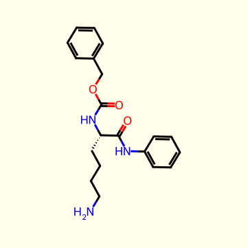 NCCCC[C@H](NC(=O)OCc1ccccc1)C(=O)Nc1ccccc1